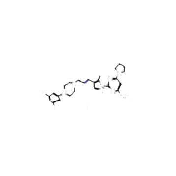 Cc1c(/C=C/CN2CCN(c3cc(F)cc(F)c3)CC2)cnn1-c1nc(N)cc(N2CCCC2)n1.Cl